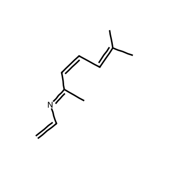 C=C/N=C(C)/C=C\C=C(C)C